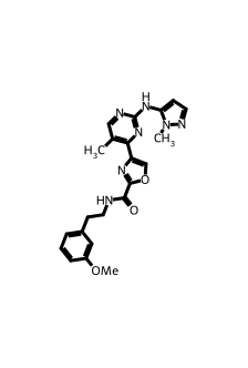 COc1cccc(CCNC(=O)c2nc(-c3nc(Nc4ccnn4C)ncc3C)co2)c1